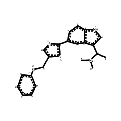 CC(c1c[nH]c2ccc(-c3nc(COc4ccccc4)cs3)cc12)N(C)C